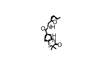 Cc1ccc(CNC(=O)c2ccc3c(c2)NC(=O)C(C)(C)S3)o1